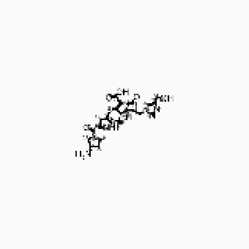 C[C@H]([C@H]1C(=O)N2C(C(=O)O)=C(SC3CN[C@H](C(=O)N4CC[C@@H](N)C4)C3)[C@H](C(F)(F)F)[C@H]12)n1cc(CO)nn1